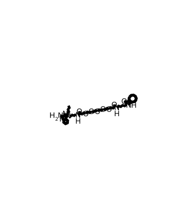 CCCCc1nc2c(N)nc3ccccc3c2n1CCCCNC(=O)CCOCCOCCOCCOCCOCCC(=O)NCCCCC1NC2c3cccccccc(c3)C2C1=O